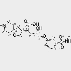 CNS(=O)(=O)c1cccc(OC[C@@H](O)CN(C(=O)O)C2COC3(CCNCC3)C2)c1